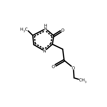 CCOC(=O)Cc1ncc(C)[nH]c1=O